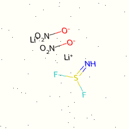 N=S(F)F.O=[N+]([O-])[O-].O=[N+]([O-])[O-].[Li+].[Li+]